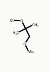 [CH2]COC(C)(C)COCCCC